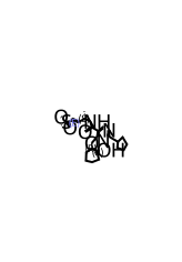 C[C@@H](/C=C/S(C)(=O)=O)NC(=O)c1cnc(C2CCCC2)nc1O[C@@H]1CCCC[C@H]1O